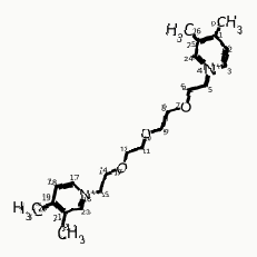 Cc1cc[n+](CCOCCOCCOCC[n+]2ccc(C)c(C)c2)cc1C